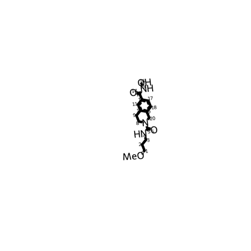 COCCCNC(=O)N1CCc2cc(C(=O)NO)ccc2C1